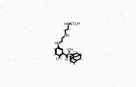 CN(C(=O)c1cc(NCCNCCNC(=O)O)ccc1Cl)C12CC3CC(CC(C3)C1)C2